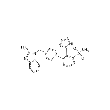 Cc1nc2ccccc2n1Cc1ccc(-c2cccc(S(C)(=O)=O)c2-c2nnn[nH]2)cc1